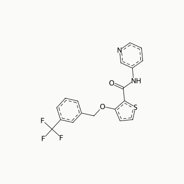 O=C(Nc1cccnc1)c1sccc1OCc1cccc(C(F)(F)F)c1